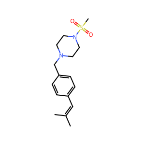 CC(C)=Cc1ccc(CN2CCN(S(C)(=O)=O)CC2)cc1